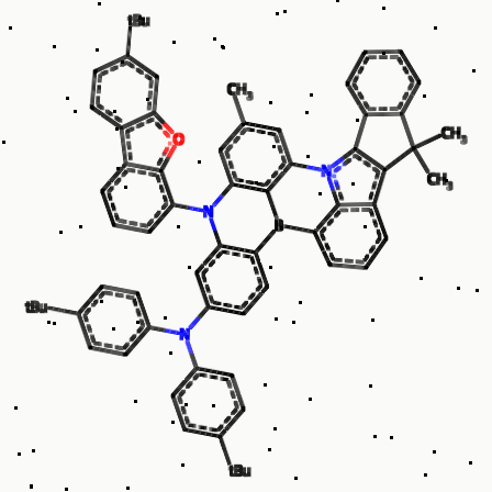 Cc1cc2c3c(c1)-n1c4c(c5cccc(c51)B3c1ccc(N(c3ccc(C(C)(C)C)cc3)c3ccc(C(C)(C)C)cc3)cc1N2c1cccc2c1oc1cc(C(C)(C)C)ccc12)C(C)(C)c1ccccc1-4